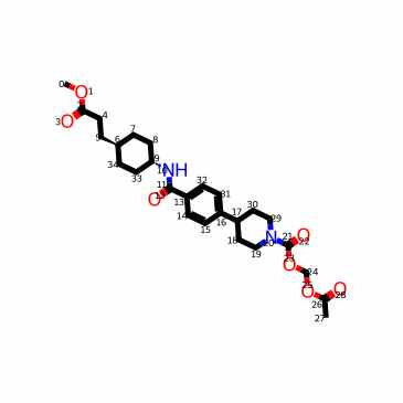 COC(=O)CC[C@H]1CC[C@H](NC(=O)c2ccc(C3CCN(C(=O)OCOC(C)=O)CC3)cc2)CC1